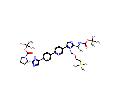 C[C@H](NC(=O)OC(C)(C)C)c1ncc(-c2ccc(-c3ccc(-c4cnc([C@@H]5CCCN5C(=O)OC(C)(C)C)[nH]4)cc3)nc2)n1COCCS(C)(C)C